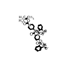 CC(C)(C)OC(=O)N1CCC(NC(=O)[C@H]2CC[C@@H](OS(=O)(=O)c3ccccc3[N+](=O)[O-])CN2S(=O)(=O)c2ccccc2[N+](=O)[O-])CC1